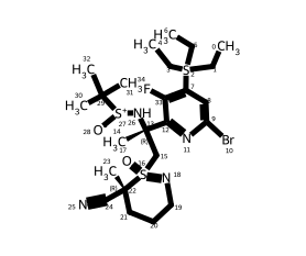 CCS(CC)(CC)c1cc(Br)nc([C@](C)(CS2(=O)=NCCC[C@]2(C)C#N)N[S+]([O-])C(C)(C)C)c1F